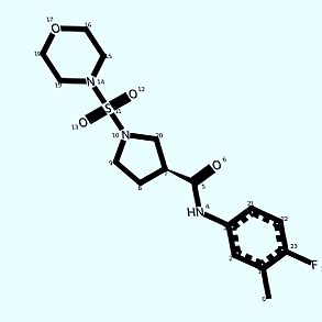 Cc1cc(NC(=O)[C@H]2CCN(S(=O)(=O)N3CCOCC3)C2)ccc1F